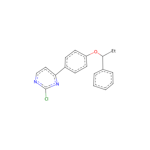 [CH2]CC(Oc1ccc(-c2ccnc(Cl)n2)cc1)c1ccccc1